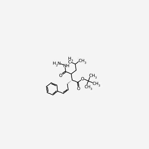 CC(C)CC(C(=O)NN)[C@@H](C/C=C\c1ccccc1)C(=O)OC(C)(C)C